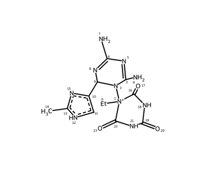 CC[N+]1(N2C(N)=NC(N)=NC2c2c[nH]c(C)n2)C(=O)NC(=O)NC1=O